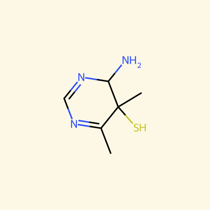 CC1=NC=NC(N)C1(C)S